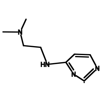 CN(C)CCNc1ccn[c]n1